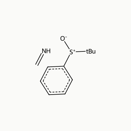 C=N.CC(C)(C)[S+]([O-])c1ccccc1